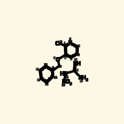 Clc1ncccc1OCc1ccccc1.N=C(N)N[N+](=O)[O-]